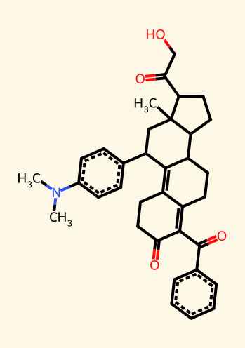 CN(C)c1ccc(C2CC3(C)C(C(=O)CO)CCC3C3CCC4=C(C(=O)c5ccccc5)C(=O)CCC4=C23)cc1